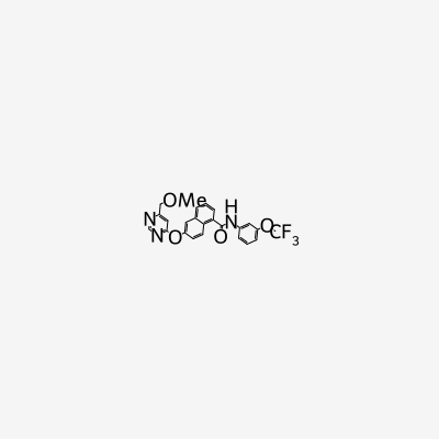 COCc1cc(Oc2ccc3c(C(=O)Nc4cccc(OC(F)(F)F)c4)cccc3c2)ncn1